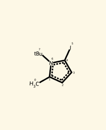 Cc1ccc(I)n1C(C)(C)C